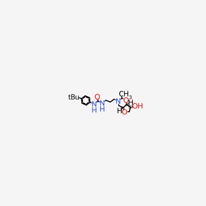 CC1O[C@H]2[C@@H](O)CO[C@@H]2CN1CCCNC(=O)Nc1ccc(C(C)(C)C)cc1